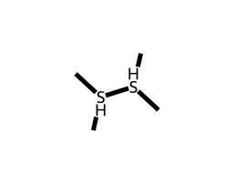 C[SH](C)[SH](C)C